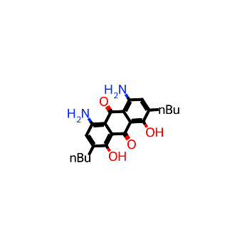 CCCCc1cc(N)c2c(c1O)C(=O)c1c(O)c(CCCC)cc(N)c1C2=O